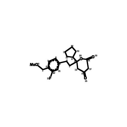 COCc1ccc(CCC2(C3CCCC3)CC(=O)CC(=O)O2)cc1F